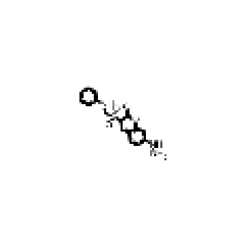 NNc1ccc2cc(S(=O)(=O)CNc3ccccc3)c(=O)oc2c1